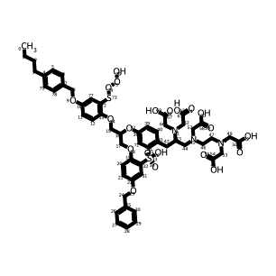 CCCCc1ccc(COc2ccc(OCC(COc3ccc(OCc4ccccc4)cc3S(=O)(=O)O)Oc3ccc(CC(CN(CCN(CC(=O)O)CC(=O)O)CC(=O)O)N(CC(=O)O)CC(=O)O)cc3)c(SOOO)c2)cc1